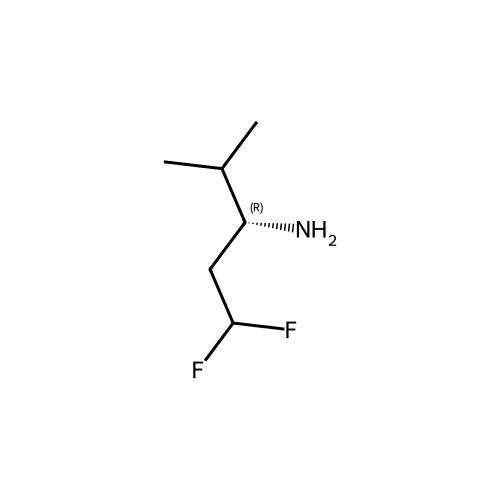 CC(C)[C@H](N)CC(F)F